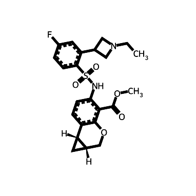 CCN1CC(c2cc(F)ccc2S(=O)(=O)Nc2ccc3c(c2C(=O)OC)OC[C@@H]2C[C@H]32)C1